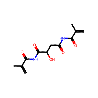 C=C(C)C(=O)NC(=O)CC(O)C(=O)NC(=O)C(=C)C